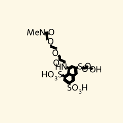 CNC(=O)COCCOCC(=O)CNc1cc(SOOO)cc2cc(S(=O)(=O)O)cc(S(=O)(=O)O)c12